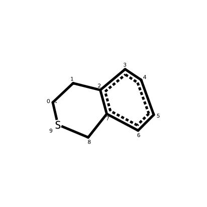 [CH]1Cc2ccccc2CS1